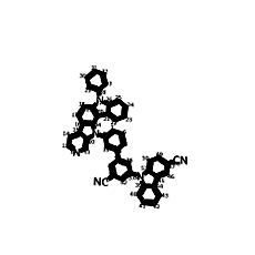 N#Cc1cc(-c2cccc(-n3c4cnccc4c4ccc5c(c6ccccc6n5-c5ccccc5)c43)c2)cc(-n2c3ccccc3c3cc(C#N)ccc32)c1